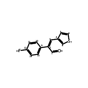 O=C/C(=C\c1ccsc1)c1ccc(F)cc1